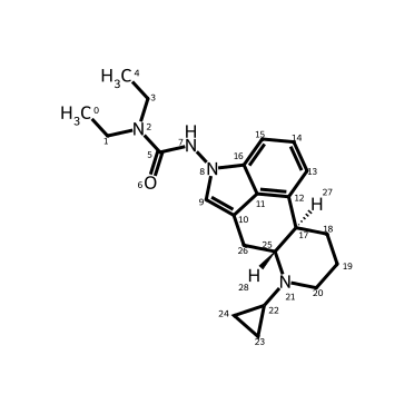 CCN(CC)C(=O)Nn1cc2c3c(cccc31)[C@H]1CCCN(C3CC3)[C@@H]1C2